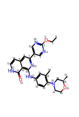 CCOc1ncc(-c2cc3cc[nH]c(=O)c3c(Nc3ccc(N4CCO[C@H](C)C4)c(C)c3)n2)cn1